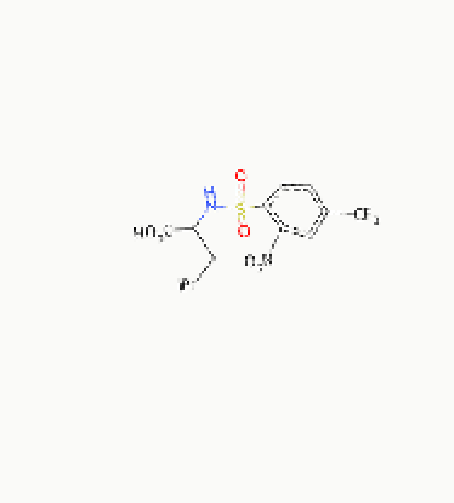 CC(C)CC(NS(=O)(=O)c1ccc(C(F)(F)F)cc1[N+](=O)[O-])C(=O)O